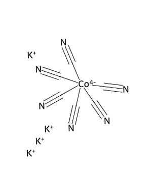 N#[C][Co-4]([C]#N)([C]#N)([C]#N)([C]#N)[C]#N.[K+].[K+].[K+].[K+]